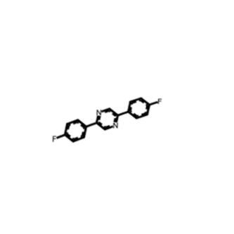 Fc1ccc(-c2cnc(-c3ccc(F)cc3)cn2)cc1